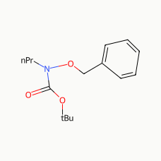 CCCN(OCc1ccccc1)C(=O)OC(C)(C)C